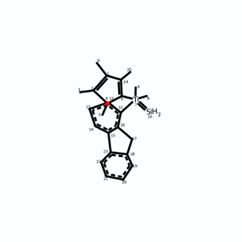 CC1=C(C)C(C)[C]([Ti]([CH3])([CH3])(=[SiH2])[c]2cccc3c2Cc2ccccc2-3)=C1C